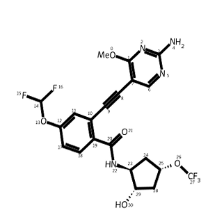 COc1nc(N)ncc1C#Cc1cc(OC(F)F)ccc1C(=O)N[C@H]1C[C@H](OC(F)(F)F)C[C@@H]1O